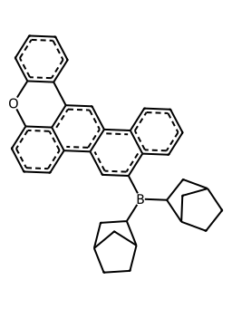 c1ccc2c(c1)Oc1cccc3c1c-2cc1c2ccccc2c(B(C2CC4CCC2C4)C2CC4CCC2C4)cc31